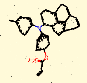 C=CC(O)Oc1ccc(N(c2ccc(C)cc2)c2ccc3c4c5c(ccc24)CC=CC5=CC3)cc1